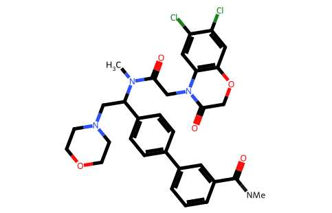 CNC(=O)c1cccc(-c2ccc(C(CN3CCOCC3)N(C)C(=O)CN3C(=O)COc4cc(Cl)c(Cl)cc43)cc2)c1